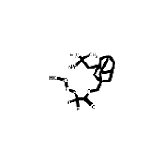 CCCC(C)(C)CC12CC3CC(CC(COC(=O)C(F)(F)SOOO)(C3)C1)C2